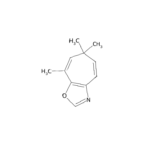 CC1=CC(C)(C)C=Cc2ncoc21